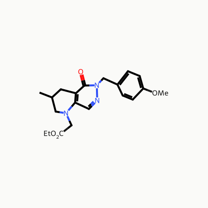 CCOC(=O)CN1CC(C)Cc2c1cnn(Cc1ccc(OC)cc1)c2=O